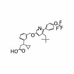 CC(C)(C)Cc1cc(OCc2cccc(C(CC(=O)O)C3CC3)c2)cnc1-c1ccc(OC(F)(F)F)cc1